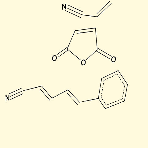 C=CC#N.N#CC=CC=Cc1ccccc1.O=C1C=CC(=O)O1